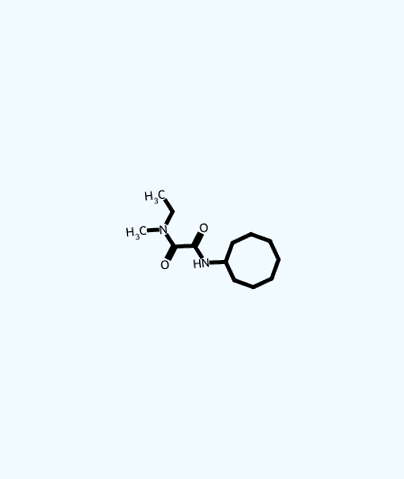 CCN(C)C(=O)C(=O)NC1CCCCCCC1